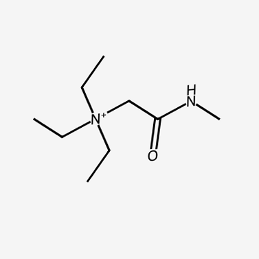 CC[N+](CC)(CC)CC(=O)NC